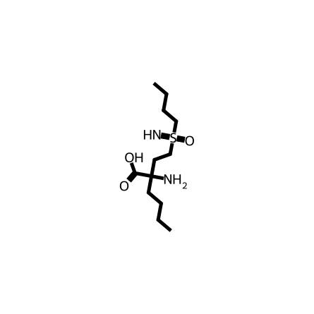 CCCCC(N)(CCS(=N)(=O)CCCC)C(=O)O